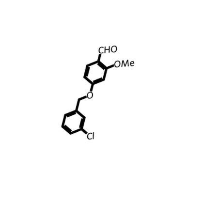 COc1cc(OCc2cccc(Cl)c2)ccc1C=O